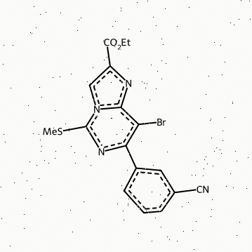 CCOC(=O)c1cn2c(SC)nc(-c3cccc(C#N)c3)c(Br)c2n1